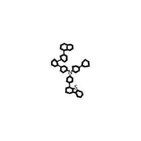 c1ccc(-c2ccc(N(c3ccc(-c4ccccc4-c4cccc(-c5cccc6ccccc56)c4)cc3)c3ccc(-c4cccc5c4sc4ccccc45)cc3)cc2)cc1